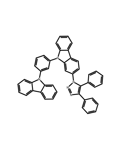 c1ccc(-c2nnn(-c3ccc4c5ccccc5n(-c5cccc(-n6c7ccccc7c7ccccc76)c5)c4c3)c2-c2ccccc2)cc1